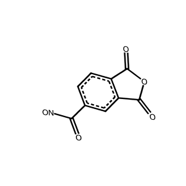 O=NC(=O)c1ccc2c(c1)C(=O)OC2=O